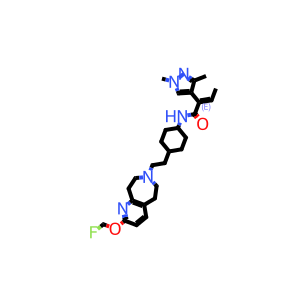 C/C=C(/C(=O)NC1CCC(CCN2CCc3ccc(OCF)nc3CC2)CC1)c1cn(C)nc1C